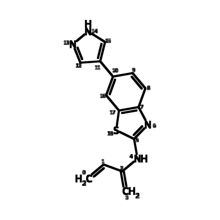 C=CC(=C)Nc1nc2ccc(-c3cn[nH]c3)cc2s1